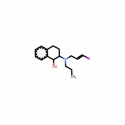 CCCN(CC=CI)C1CCc2ccccc2C1O